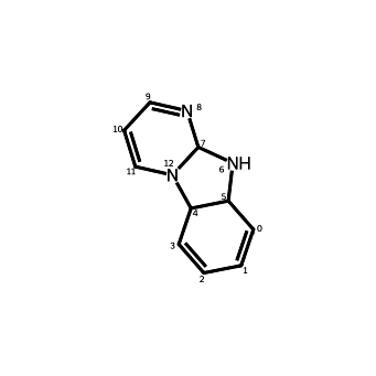 [C]1=CC=CC2C1NC1N=CC=CN12